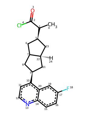 CC(C(=O)Cl)[C@@H]1CC2C[C@H](c3ccnc4ccc(F)cc34)C[C@@H]2C1